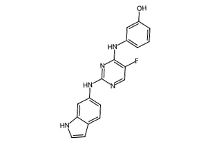 Oc1cccc(Nc2nc(Nc3ccc4cc[nH]c4c3)ncc2F)c1